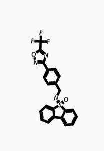 O=S1(=NCc2ccc(-c3noc(C(F)(F)F)n3)cc2)c2ccccc2-c2ccccc21